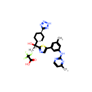 Cc1cc(Nc2nccc(C(F)(F)F)n2)cc(-c2cnc([C@](C)(O)[C@H]3CC[C@H](c4nn[nH]n4)CC3)s2)c1.O=C(O)C(F)(F)F